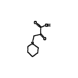 O=C(O)C(=O)CN1CCCCC1